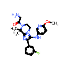 COc1ccc(Nc2c(-c3cccc(F)c3)nc3n2CCN(C(=O)CN)C3(C)C)cn1